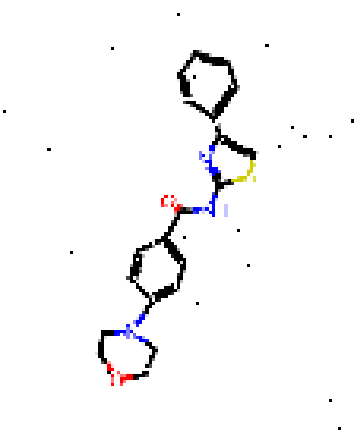 O=C(Nc1nc(-c2ccccc2)cs1)c1ccc(N2CCOCC2)cc1